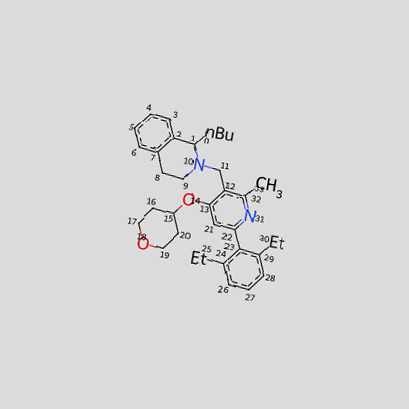 CCCCC1c2ccccc2CCN1Cc1c(OC2CCOCC2)cc(-c2c(CC)cccc2CC)nc1C